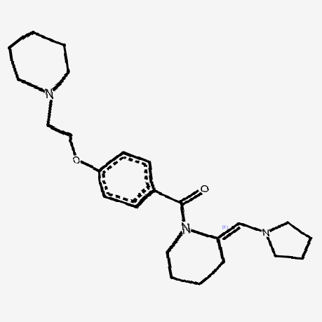 O=C(c1ccc(OCCN2CCCCC2)cc1)N1CCCC/C1=C\N1CCCC1